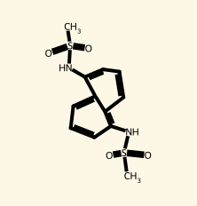 CS(=O)(=O)Nc1cccc2c(NS(C)(=O)=O)cccc12